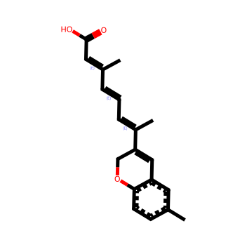 CC(/C=C/C=C(\C)C1=Cc2cc(C)ccc2OC1)=C\C(=O)O